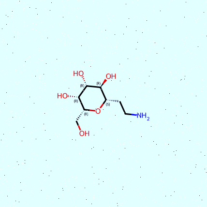 NCC[C@@H]1O[C@H](CO)[C@H](O)[C@H](O)[C@H]1O